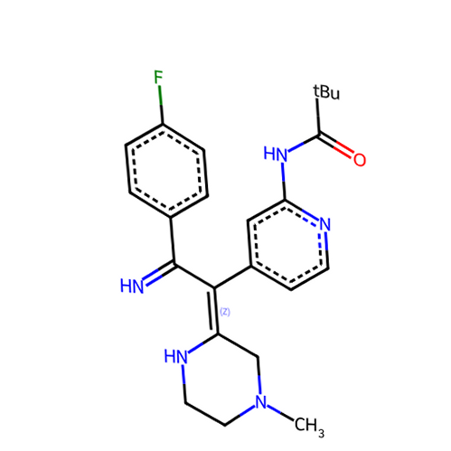 CN1CCN/C(=C(\C(=N)c2ccc(F)cc2)c2ccnc(NC(=O)C(C)(C)C)c2)C1